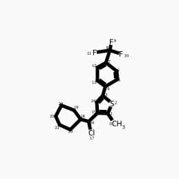 Cc1sc(-c2ccc(C(F)(F)F)cc2)cc1C(Cl)C1CCCCC1